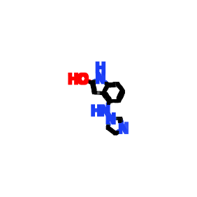 Oc1cc2c(NN3C=NCC3)cccc2[nH]1